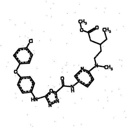 CCC(CCN(C)c1ccc(NC(=O)c2nnc(Nc3ccc(Oc4ccc(Cl)cc4)cc3)o2)cn1)CC(=O)OC